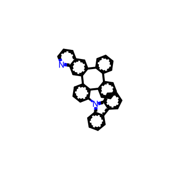 c1ccc2c(c1)-c1cc3cccnc3cc1-c1cccc(-n3c4ccccc4c4ccccc43)c1-c1ccccc1-2